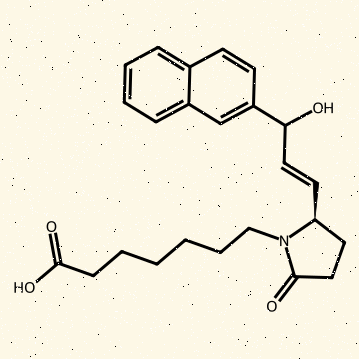 O=C(O)CCCCCCN1C(=O)CC[C@@H]1C=CC(O)c1ccc2ccccc2c1